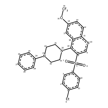 CCc1ccc(S(=O)(=O)c2cnc3ccc(OC(F)(F)F)cc3c2N2CCN(c3ccccc3)CC2)cc1